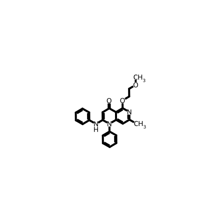 COCCOc1nc(C)cc2c1c(=O)cc(Nc1ccccc1)n2-c1ccccc1